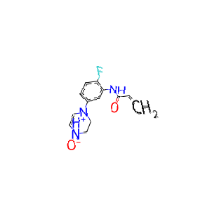 C=CC(=O)Nc1cc(N2C=C[NH+]([O-])CC2)ccc1F